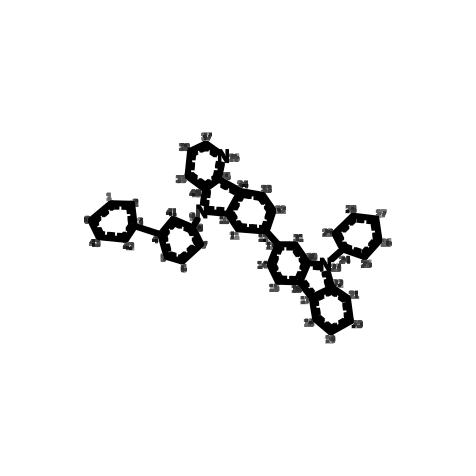 c1ccc(-c2cccc(-n3c4cc(-c5ccc6c7ccccc7n(-c7ccccc7)c6c5)ccc4c4ncccc43)c2)cc1